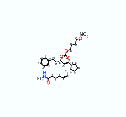 CCNC(=O)CCC/C=C\C[C@H]1CCC[C@@H]1/C=C/[C@H](CCc1ccccc1)OC(=O)OCCCCO[N+](=O)[O-]